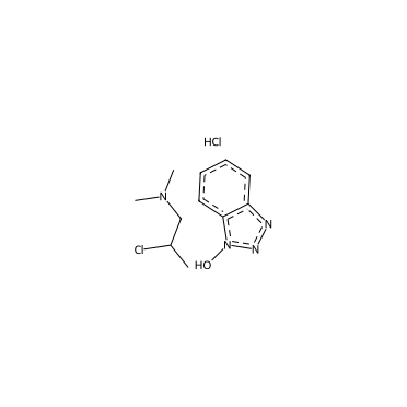 CC(Cl)CN(C)C.Cl.On1nnc2ccccc21